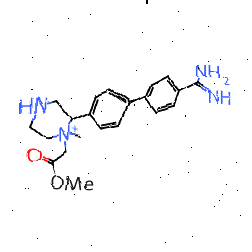 COC(=O)C[N+]1(C)CCNCC1c1ccc(-c2ccc(C(=N)N)cc2)cc1